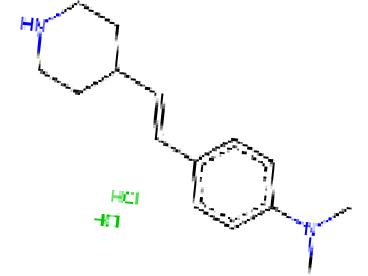 CN(C)c1ccc(C=CC2CCNCC2)cc1.Cl.Cl